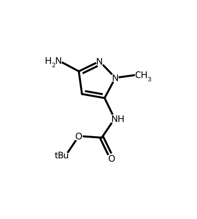 Cn1nc(N)cc1NC(=O)OC(C)(C)C